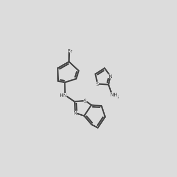 Brc1ccc(Nc2nc3ccccc3s2)cc1.Nc1nccs1